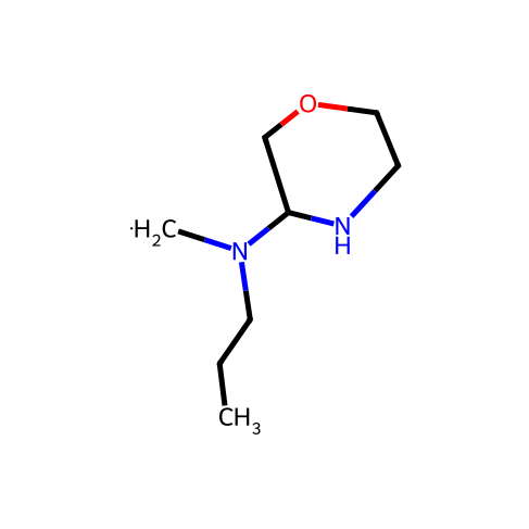 [CH2]N(CCC)C1COCCN1